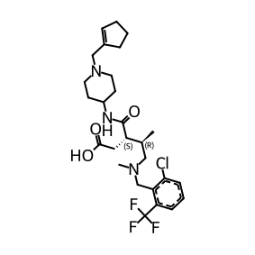 C[C@@H](CN(C)Cc1c(Cl)cccc1C(F)(F)F)[C@H](CC(=O)O)C(=O)NC1CCN(CC2=CCCC2)CC1